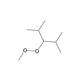 COO[C](C(C)C)C(C)C